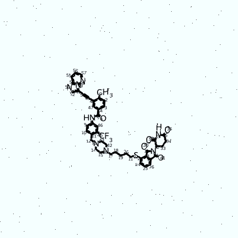 Cc1ccc(C(=O)Nc2ccc(CN3CCN(CCCCCSc4cccc5c4C(=O)N(C4CCC(=O)NC4=O)C5=O)CC3)c(C(F)(F)F)c2)cc1C#Cc1cnc2cccnn12